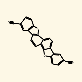 N#Cc1ccc2oc3c(ccc4c3ccc3c5cc(C#N)ccc5oc34)c2c1